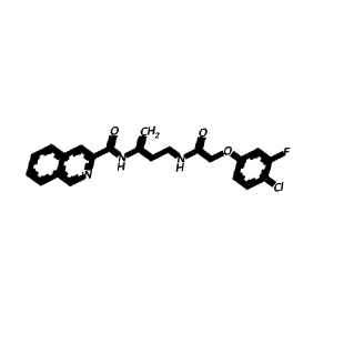 C=C(CCNC(=O)COc1ccc(Cl)c(F)c1)NC(=O)c1cc2ccccc2cn1